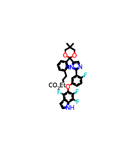 CCOC(=O)CCc1cccc(C2(c3cnc(-c4cc(Oc5c(F)c(F)c6[nH]ccc6c5F)ccc4F)[nH]3)OCC(C)(C)CO2)c1